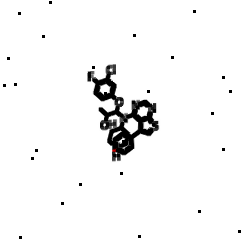 CC(O)C(Oc1ccc(F)c(Cl)c1)N(c1ncnc2scc(-c3ccccc3)c12)C1CCNCC1